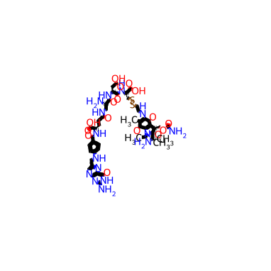 CCN1C2=C(C(=O)C(NCCSSC[C@H](NC(=O)[C@H](CC(=O)O)NC(=O)[C@@H](N)CNC(=O)CC[C@@H](NC(=O)c3ccc(NCc4cnc5nc(N)[nH]c(=O)c5n4)cc3)C(=O)O)C(=O)O)=C(C)C2=O)[C@@H](COC(N)=O)[C@@]1(OC)[C@H](C)N